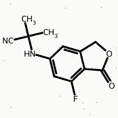 CC(C)(C#N)Nc1cc(F)c2c(c1)COC2=O